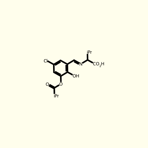 CC(C)C(=O)Oc1cc(Cl)cc(C=NC(C(=O)O)C(C)C)c1O